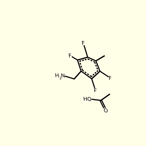 CC(=O)O.Cc1c(F)c(F)c(CN)c(F)c1F